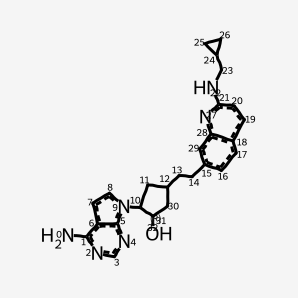 Nc1ncnc2c1ccn2C1CC(CCc2ccc3ccc(NCC4CC4)nc3c2)C[C@H]1O